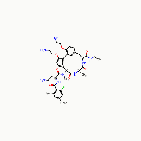 COc1cc(C)c(C(=O)N[C@@H](CCN)C(=O)N(C)[C@@H]2C(=O)N[C@@H](C)C(=O)N[C@H](C(=O)NCC#N)Cc3ccc(OCCN)c(c3)-c3cc2ccc3OCCN)c(Cl)c1